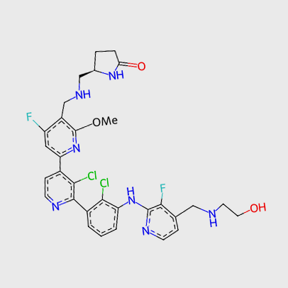 COc1nc(-c2ccnc(-c3cccc(Nc4nccc(CNCCO)c4F)c3Cl)c2Cl)cc(F)c1CNC[C@H]1CCC(=O)N1